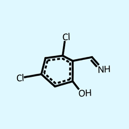 N=Cc1c(O)cc(Cl)cc1Cl